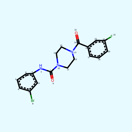 O=C(Nc1cccc(Br)c1)N1CCN(C(=O)c2cccc(F)c2)CC1